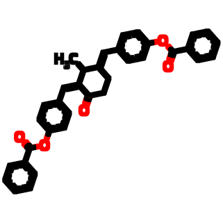 CC1C(=Cc2ccc(OC(=O)c3ccccc3)cc2)CCC(=O)C1=Cc1ccc(OC(=O)c2ccccc2)cc1